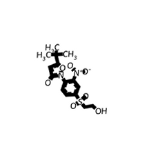 CC(C)(C)c1cc(=O)n(-c2ccc(S(=O)(=O)CCO)cc2[N+](=O)[O-])o1